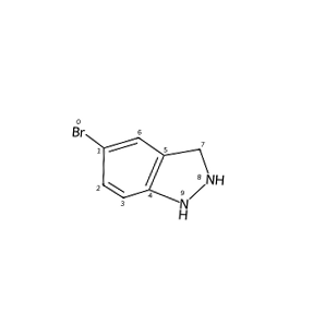 Brc1ccc2c(c1)CNN2